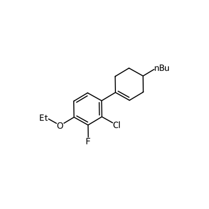 CCCCC1CC=C(c2ccc(OCC)c(F)c2Cl)CC1